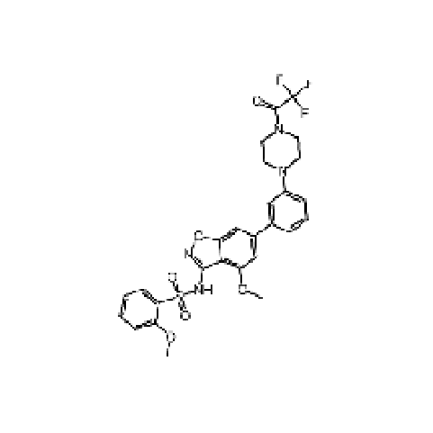 COc1ccccc1S(=O)(=O)Nc1noc2cc(-c3cccc(N4CCN(C(=O)C(F)(F)F)CC4)c3)cc(OC)c12